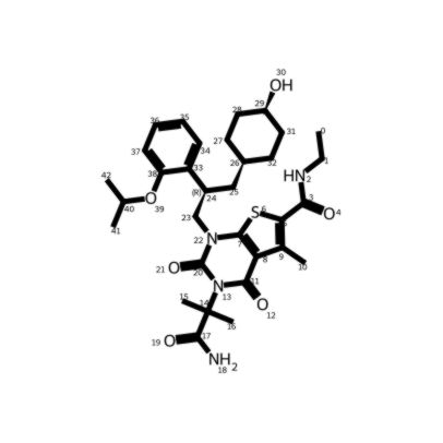 CCNC(=O)c1sc2c(c1C)c(=O)n(C(C)(C)C(N)=O)c(=O)n2C[C@H](C[C@H]1CC[C@@H](O)CC1)c1ccccc1OC(C)C